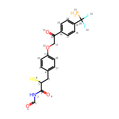 O=CNC(=O)C(S)Cc1ccc(OCC(=O)c2ccc(C(F)(F)P)cc2)cc1